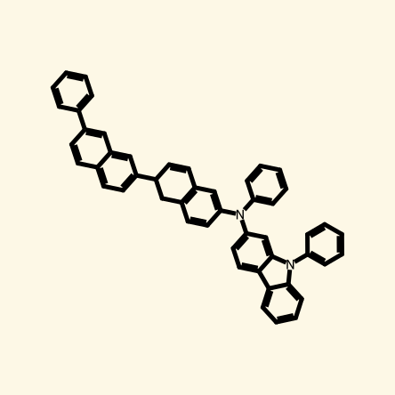 C1=CC(c2ccc3ccc(-c4ccccc4)cc3c2)Cc2ccc(N(c3ccccc3)c3ccc4c5ccccc5n(-c5ccccc5)c4c3)cc21